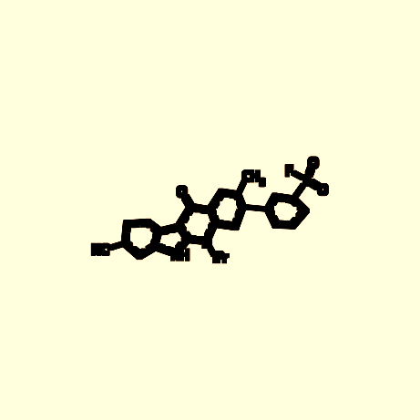 Cc1cc2c(=O)c3c4ccc(C#N)cc4[nH]c3n(C(C)C)c2cc1-c1cccc(S(=O)(=O)F)c1